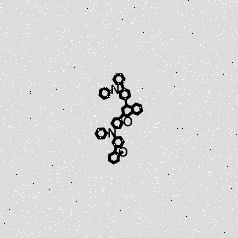 c1ccc(N(c2ccc3c(c2)oc2c4ccccc4c(-c4ccc5c6ccccc6n(-c6ccccc6)c5c4)cc32)c2ccc3oc4ccccc4c3c2)cc1